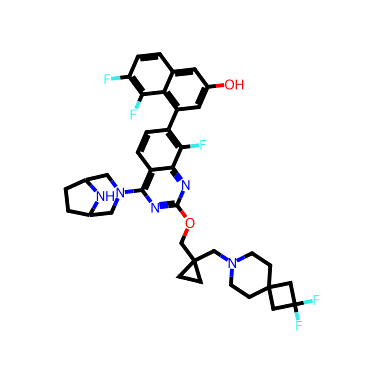 Oc1cc(-c2ccc3c(N4CC5CCC(C4)N5)nc(OCC4(CN5CCC6(CC5)CC(F)(F)C6)CC4)nc3c2F)c2c(F)c(F)ccc2c1